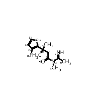 CC(=N)N(C)C(=O)CC(C)(C)c1sccc1F